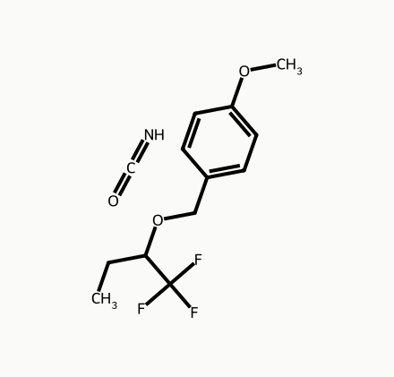 CCC(OCc1ccc(OC)cc1)C(F)(F)F.N=C=O